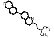 CC(C)CCc1ccc2cc(-c3ccc4cnccc4c3)ccc2n1